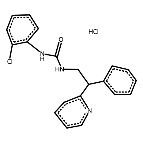 Cl.O=C(NCC(c1ccccc1)c1ccccn1)Nc1ccccc1Cl